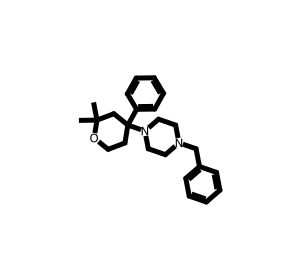 CC1(C)CC(c2ccccc2)(N2CCN(Cc3ccccc3)CC2)CCO1